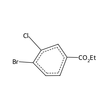 CCOC(=O)c1ccc(Br)c(Cl)c1